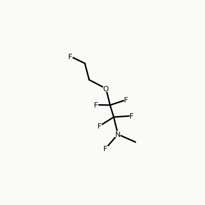 CN(F)C(F)(F)C(F)(F)OCCF